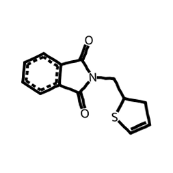 O=C1c2ccccc2C(=O)N1CC1CC=CS1